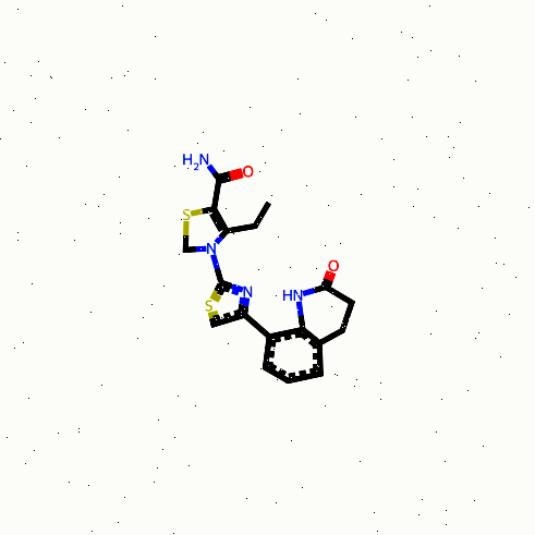 CCC1=C(C(N)=O)SCN1c1nc(-c2cccc3c2NC(=O)CC3)cs1